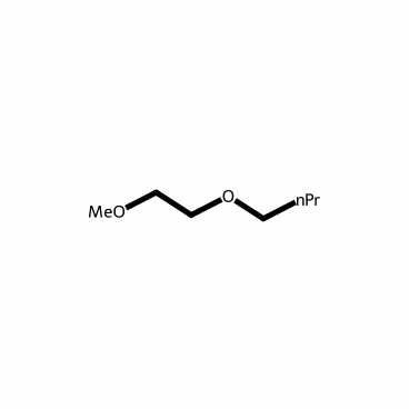 [CH]OCCOCCCC